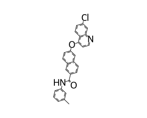 Cc1cccc(NC(=O)c2ccc3cc(Oc4ccnc5cc(Cl)ccc45)ccc3c2)c1